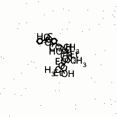 CC[C@@H](C(=O)[C@@H](C)[C@@H](O)[C@H](C)CCc1ccc(C)c(OC(=O)c2ccccc2)c1C(=O)O)[C@H]1O[C@](CC)([C@H]2CC[C@](O)(CC)[C@H](C)O2)C[C@@H]1C